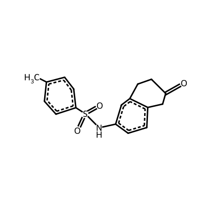 Cc1ccc(S(=O)(=O)Nc2ccc3c(c2)CCC(=O)C3)cc1